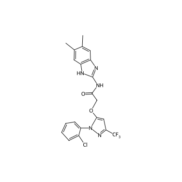 Cc1cc2nc(NC(=O)COc3cc(C(F)(F)F)nn3-c3ccccc3Cl)[nH]c2cc1C